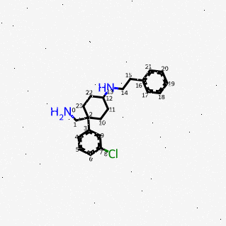 NCC1(c2cccc(Cl)c2)CCC(NCCc2ccccc2)CC1